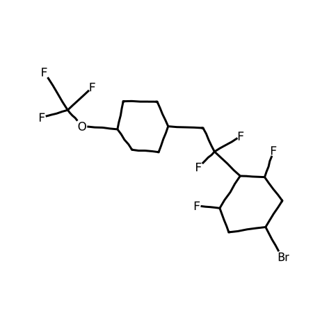 FC1CC(Br)CC(F)C1C(F)(F)CC1CCC(OC(F)(F)F)CC1